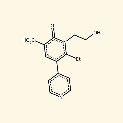 CCc1c(-c2ccncc2)cc(C(=O)O)c(=O)n1CCO